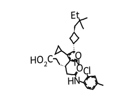 CCC(C)(C)C[C@H]1C[C@H](c2onc([C@@H](CCC(=O)O)CC(=O)Nc3ccc(C)cc3Cl)c2C2CC2)C1